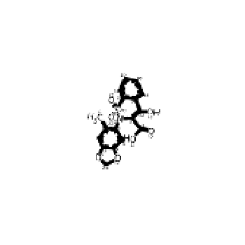 Cc1cc2c(cc1N1C(C(=O)O)=C(O)c3ccccc3S1(=O)=O)OCO2